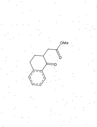 COC(=O)CC1CCc2ccccc2C1=O